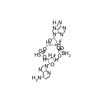 BP1(=O)OC[C@H]2O[C@@H](n3cnc4c(N)ccnc43)[C@H](OP(=O)(S)OC[C@H]3O[C@@H](n4cnc5c(N)ncnc54)[C@H](F)[C@@H]3O1)[C@@H]2F